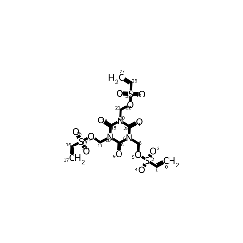 C=CS(=O)(=O)OCn1c(=O)n(COS(=O)(=O)C=C)c(=O)n(COS(=O)(=O)C=C)c1=O